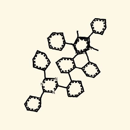 Cc1cc(C)nc(-c2cccc(-c3ccccc3-c3nc(-c4ccccc4)nc(-c4ccccc4)n3)c2-c2ccccc2-c2nc(-c3ccccc3)nc(-c3ccccc3)n2)n1